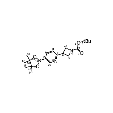 CC(C)(C)OC(=O)N1CC(c2ccc(B3OC(C)(C)C(C)(C)O3)cn2)C1